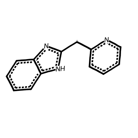 [CH](c1ccccn1)c1nc2ccccc2[nH]1